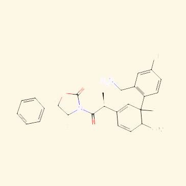 CCC1(c2ccc(C(F)(F)F)cc2CN)C=C([C@H](C)C(=O)N2C(=O)O[C@@H](c3ccccc3)[C@H]2C)C=CC1OC